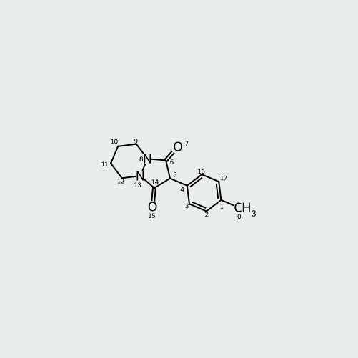 Cc1ccc(C2C(=O)N3CCCCN3C2=O)cc1